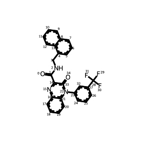 O=C(NCc1cccc2ccccc12)c1nc2ccccc2n(-c2cccc(C(F)(F)F)c2)c1=O